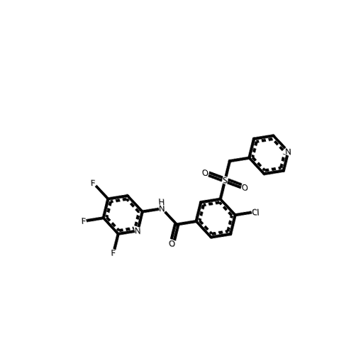 O=C(Nc1cc(F)c(F)c(F)n1)c1ccc(Cl)c(S(=O)(=O)Cc2ccncc2)c1